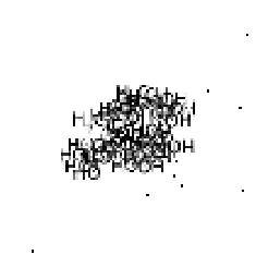 CC[C@H](CCC(O[C@@H]1O[C@H](CO[C@@H]2O[C@H](CO)[C@@H](O)[C@H](O)[C@H]2O)[C@@H](O)[C@H](O)[C@H]1O[C@H]1O[C@@H](CO)[C@H](O)[C@@H](O)[C@@H]1O)C(C)(C)O)[C@H]1CC[C@@]2(C)[C@@H]3CC=C4[C@@H](CC[C@H](O[C@@H]5O[C@H](CO[C@@H]6O[C@H](CO)[C@@H](O)[C@H](O)[C@H]6O)[C@@H](O)[C@H](O)[C@H]5O)C4(C)C)[C@]3(C)[C@H](O)C[C@]12C